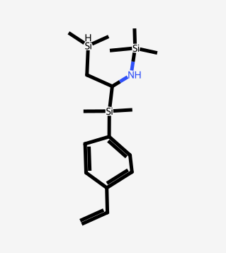 C=Cc1ccc([Si](C)(C)C(C[SiH](C)C)N[Si](C)(C)C)cc1